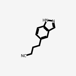 N#CCCCc1ccc2[nH]ncc2c1